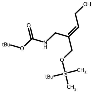 CC(C)(C)OC(=O)NC/C(=C\CO)CO[Si](C)(C)C(C)(C)C